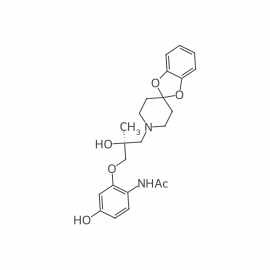 CC(=O)Nc1ccc(O)cc1OC[C@@](C)(O)CN1CCC2(CC1)Oc1ccccc1O2